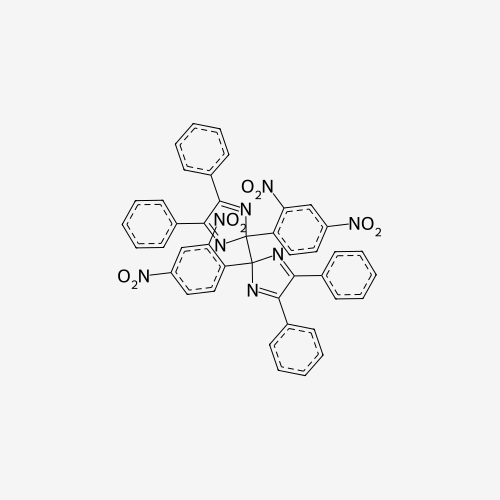 O=[N+]([O-])c1ccc(C2(C3(c4ccc([N+](=O)[O-])cc4[N+](=O)[O-])N=C(c4ccccc4)C(c4ccccc4)=N3)N=C(c3ccccc3)C(c3ccccc3)=N2)c([N+](=O)[O-])c1